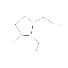 CCN1CCC(N)N1CC